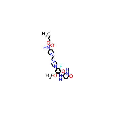 CCCCOC(=O)NC1CCN(CCN2CCN(c3cc(OC)c(NC4CCC(=O)NC4=O)cc3F)CC2)CC1